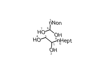 CCCCCCCC(O)CO.CCCCCCCCCC(O)O